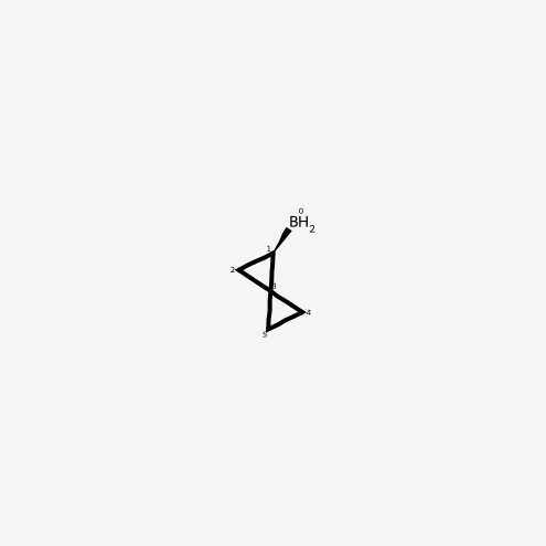 B[C@@H]1CC12CC2